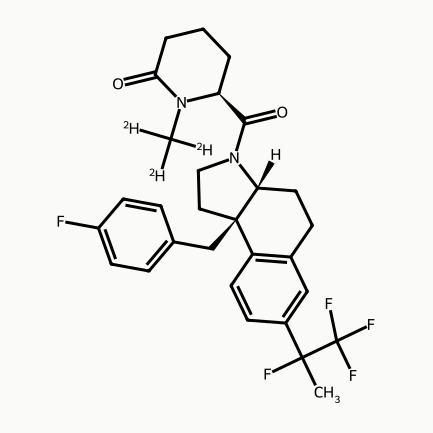 [2H]C([2H])([2H])N1C(=O)CCC[C@H]1C(=O)N1CC[C@@]2(Cc3ccc(F)cc3)c3ccc(C(C)(F)C(F)(F)F)cc3CC[C@@H]12